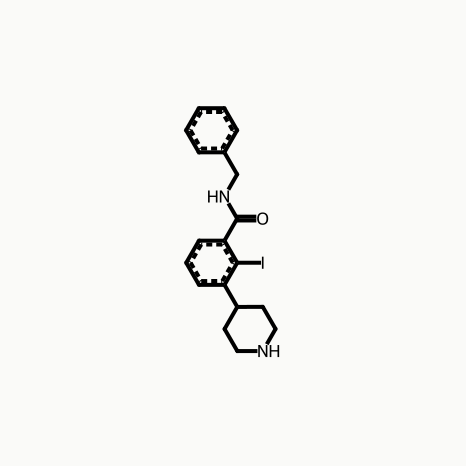 O=C(NCc1ccccc1)c1cccc(C2CCNCC2)c1I